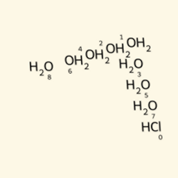 Cl.O.O.O.O.O.O.O.O